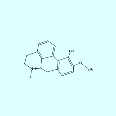 CCCOc1ccc2c(c1O)-c1cccc3c1[C@@H](C2)N(C)CC3